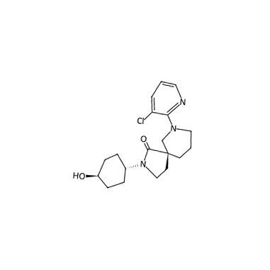 O=C1N([C@H]2CC[C@H](O)CC2)CC[C@@]12CCCN(c1ncccc1Cl)C2